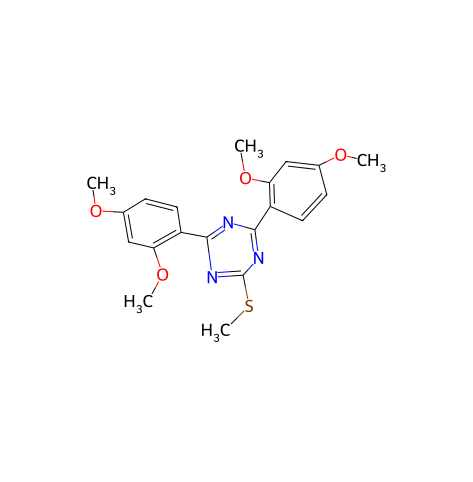 COc1ccc(-c2nc(SC)nc(-c3ccc(OC)cc3OC)n2)c(OC)c1